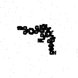 C[C@@H]1C(CC(C)(C)OC(=O)N2CC3(CC(O)C3)C2)CN(C(=O)CC#N)C[C@@H]1N(C)c1ncnc2c1ccn2C(=O)OC1CCN(C(=O)OC(C)(C)C)CC1